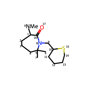 CNC1CCCC(C)(C)N(CC2CCCCS2)C1=O